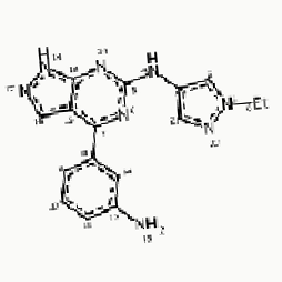 CCn1cc(Nc2nc(-c3cccc(N)c3)c3cn[nH]c3n2)cn1